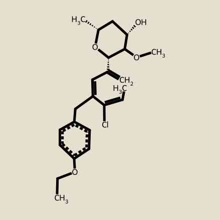 C=C(/C=C(Cc1ccc(OCC)cc1)\C(Cl)=C/C)[C@@H]1O[C@H](C)C[C@H](O)C1OC